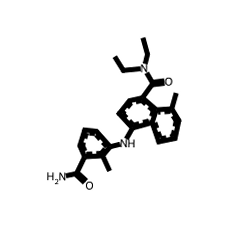 CCN(CC)C(=O)c1ccc(Nc2cccc(C(N)=O)c2C)c2cccc(C)c12